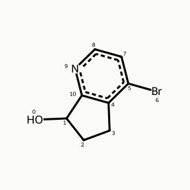 OC1CCc2c(Br)ccnc21